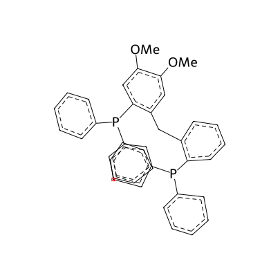 COc1cc(Cc2ccccc2P(c2ccccc2)c2ccccc2)c(P(c2ccccc2)c2ccccc2)cc1OC